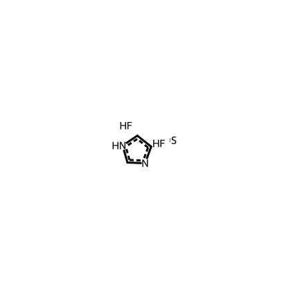 F.F.[S].c1c[nH]cn1